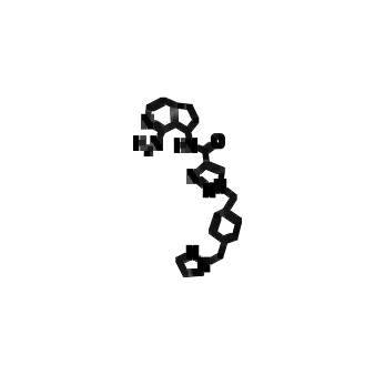 Nc1nccc2c1C(NC(=O)c1cn(Cc3ccc(Cn4cccn4)cc3)nn1)CC2